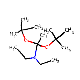 CCN(CC)C(C)(OC(C)(C)C)OC(C)(C)C